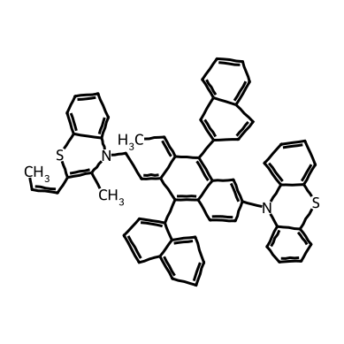 C/C=C\C1=C(C)N(C/C=c2/c(-c3cccc4ccccc34)c3ccc(N4c5ccccc5Sc5ccccc54)cc3c(-c3ccc4ccccc4c3)/c2=C/C)c2ccccc2S1